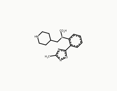 Cc1noc(-c2ccccc2N(CC2CCNCC2)C(=O)O)n1